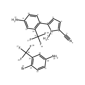 Cn1c(C#N)ccc1-c1ccc(N)cc1C(F)(F)F.Nc1ccc(Br)c(C(F)(F)F)c1